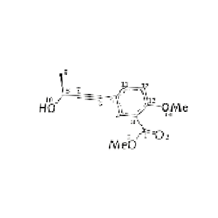 COC(=O)c1cc(C#C[C@H](C)O)ccc1OC